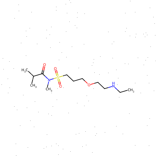 CCNCCOCCCS(=O)(=O)N(C)C(=O)C(C)C